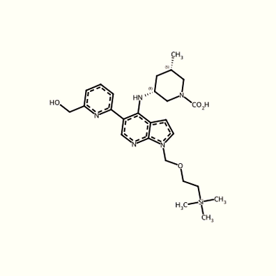 C[C@H]1C[C@@H](Nc2c(-c3cccc(CO)n3)cnc3c2ccn3COCC[Si](C)(C)C)CN(C(=O)O)C1